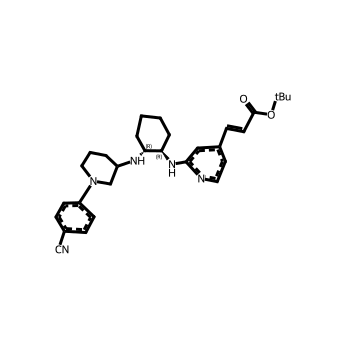 CC(C)(C)OC(=O)C=Cc1ccnc(N[C@@H]2CCCC[C@H]2NC2CCCN(c3ccc(C#N)cc3)C2)c1